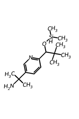 C[SiH](C)OC(c1ccc(C(C)(C)N)cn1)C(C)(C)C